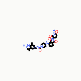 Cc1cc(CNC(=O)N2CCC(Nc3cccc4c3C(=O)N(C3CCC(=O)NC3=O)C4=O)CC2)cc(C(C)C)c1N